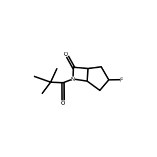 CC(C)(C)C(=O)N1C(=O)C2CC(F)CC21